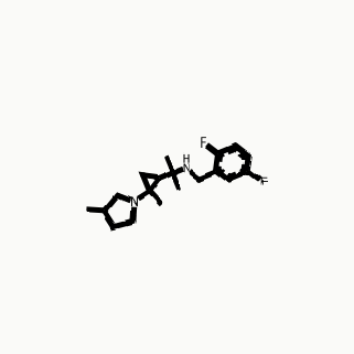 CC1CCN(C2(C)CC2C(C)(C)NCc2cc(F)ccc2F)C1